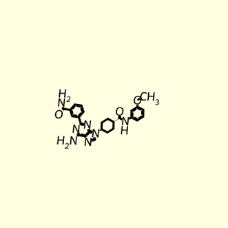 COc1cccc(NC(=O)[C@H]2CC[C@@H](n3cnc4c(N)nc(-c5cccc(C(N)=O)c5)nc43)CC2)c1